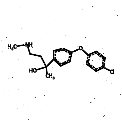 CNCCC(C)(O)c1ccc(Oc2ccc(Cl)cc2)cc1